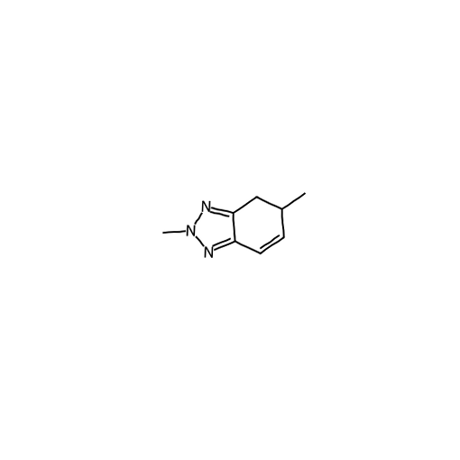 CC1C=Cc2nn(C)nc2C1